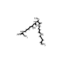 CCOC(NC(=O)CC(O)CCCCNC(=N)N)C(=O)NCCCCNCCCN